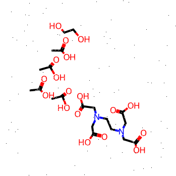 CC(=O)O.CC(=O)O.CC(=O)O.CC(=O)O.O=C(O)CN(CCN(CC(=O)O)CC(=O)O)CC(=O)O.OCCO